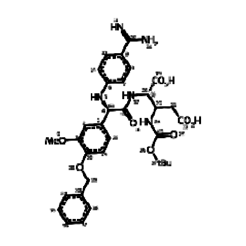 COc1cc([C@@H](Nc2ccc(C(=N)N)cc2)C(=O)N[C@H](C(=O)O)C(CC(=O)O)NC(=O)OC(C)(C)C)ccc1OCc1ccccc1